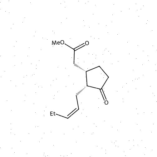 CC/C=C\C[C@H]1C(=O)CC[C@H]1CC(=O)OC